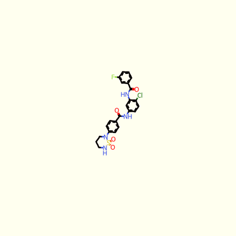 O=C(Nc1ccc(Cl)c(NC(=O)c2cccc(F)c2)c1)c1ccc(N2CCCNS2(=O)=O)cc1